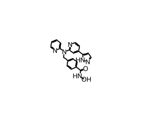 O=C(NO)c1ccc(CN(c2ccccn2)c2cc(-c3ccn[nH]3)ccn2)cc1